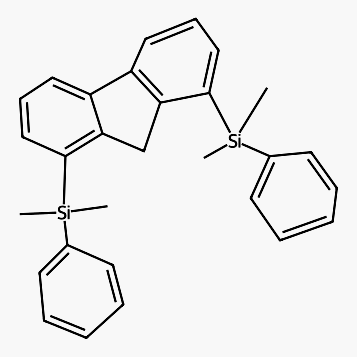 C[Si](C)(c1ccccc1)c1cccc2c1Cc1c-2cccc1[Si](C)(C)c1ccccc1